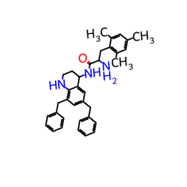 Cc1cc(C)c(CC(N)C(=O)NC2CCNc3c(Cc4ccccc4)cc(Cc4ccccc4)cc32)c(C)c1